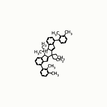 CCC1(CC)C2=Cc3c(-c4cccc(C)c4C)cccc3[CH]2[Hf]([CH3])([CH3])[CH]2C1=Cc1c(-c3cccc(C)c3C)cccc12